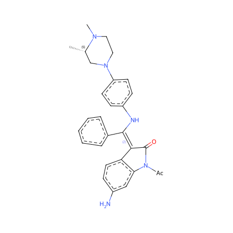 CC(=O)N1C(=O)/C(=C(\Nc2ccc(N3CCN(C)[C@@H](C)C3)cc2)c2ccccc2)c2ccc(N)cc21